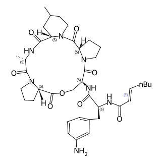 CCCC/C=C/C(=O)N[C@@H](Cc1cccc(N)c1)C(=O)N[C@H]1COC(=O)[C@@H]2CCCN2C(=O)[C@H](C)NC(=O)[C@@H]2CC(C)CCN2C(=O)[C@@H]2CCCN2C1=O